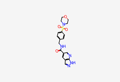 O=C(NCc1ccc(S(=O)(=O)N2CCOCC2)cc1)c1cnc2[nH]ncc2c1